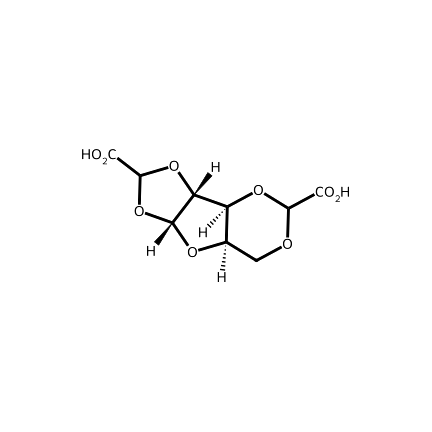 O=C(O)C1OC[C@H]2O[C@@H]3OC(C(=O)O)O[C@@H]3[C@H]2O1